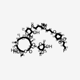 CC[C@H]1OC(=O)[C@H](C)[C@@H](OC[C@H]2C[C@@](C)(OC)[C@@H](O)[C@H](C)O2)[C@H](C)[C@@H](O[C@@H]2O[C@H](C)C[C@H](N(C)CCc3cn(CCCOc4ccc(S(=O)(=O)CCCF)cc4)nn3)[C@H]2O)[C@](C)(O)C[C@@H](C)CN(C)[C@H](C)[C@@H](O)[C@]1(C)O